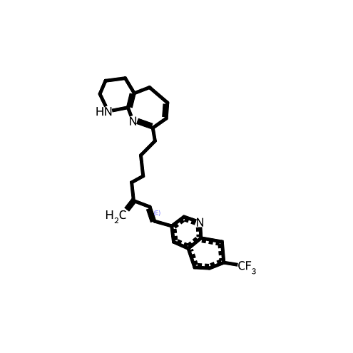 C=C(/C=C/c1cnc2cc(C(F)(F)F)ccc2c1)CCCCC1=NC2=C(CC=C1)CCCN2